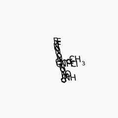 Cc1cc(CC(NC(=O)N2CCC(N3Cc4ccccc4NC3=O)CC2)C(=O)N2CCC(N3CCN(CC(F)(F)F)CC3)CC2)ccc1Cl